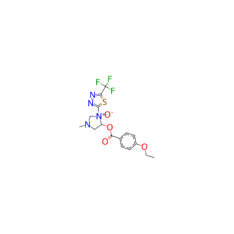 CCOc1ccc(C(=O)OC2CN(C)C[N+]2([O-])c2nnc(C(F)(F)F)s2)cc1